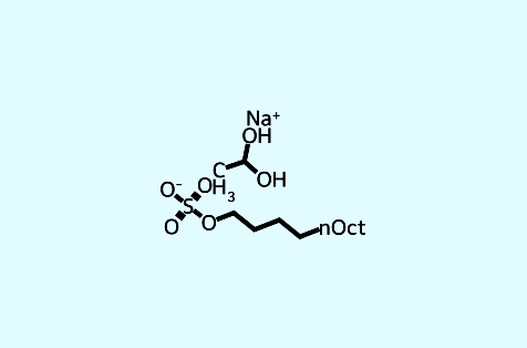 CC(O)O.CCCCCCCCCCCCOS(=O)(=O)[O-].[Na+]